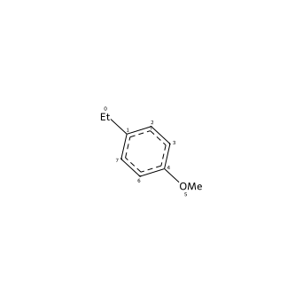 CCc1[c]cc(OC)cc1